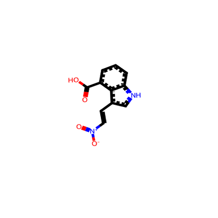 O=C(O)c1cccc2[nH]cc(C=C[N+](=O)[O-])c12